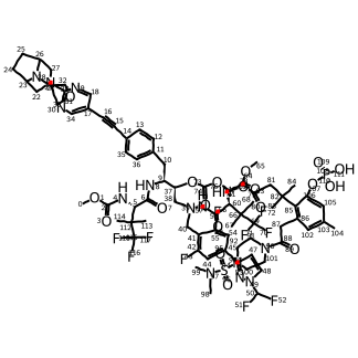 COC(=O)N[C@H](C(=O)N[C@@H](Cc1ccc(C#Cc2cnc(N3CC4CCC(C3)N4C3COC3)nc2)cc1)[C@H](CN(Cc1c(F)cc(-c2ccn(C(F)F)n2)cc1F)NC(=O)[C@@H](NC(=O)OC)C(C)(C)C(F)(F)F)OC(=O)OCOC(=O)CC(C)(C)c1c(CC(=O)N2CCN(S(=O)(=O)N(C)C)CC2)cc(C)cc1OP(=O)(O)O)C(C)(C)C(F)(F)F